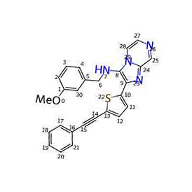 COc1cccc(CNc2c(-c3ccc(C#Cc4ccccc4)s3)nc3cnccn23)c1